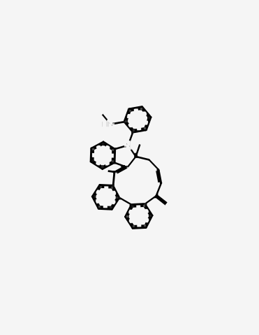 C=C1/C=C\CC2(C)/C(=C(\C)c3ccccc3-c3ccccc31)c1ccccc1N2c1ccccc1NC